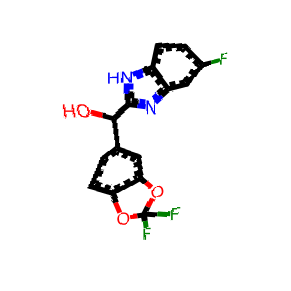 OC(c1ccc2c(c1)OC(F)(F)O2)c1nc2cc(F)ccc2[nH]1